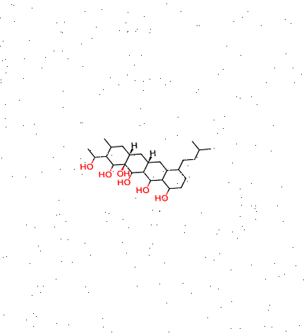 CC(C)CCC1CCC(O)C2C(O)C3C(O)[C@]4(O)C(O)C(C(C)O)C(C)C[C@@H]4C[C@@H]3CC12